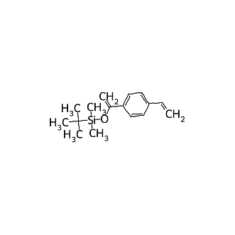 C=Cc1ccc(C(=C)O[Si](C)(C)C(C)(C)C)cc1